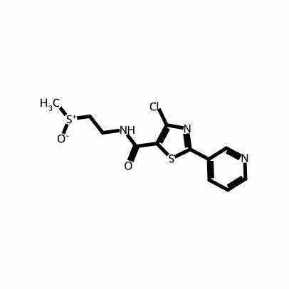 C[S+]([O-])CCNC(=O)c1sc(-c2cccnc2)nc1Cl